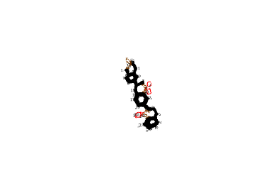 O=S1(=O)CC(c2ccc3c(c2)CCSC3)Cc2ccc(C3CCc4ccccc4[S+]3[O-])cc21